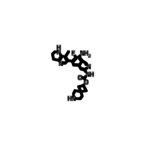 Cc1c(-c2cc3cc(NC(=O)OC4CC5(CCNCC5)C4)ncc3c(N)c2F)cnc2c1NCCC2